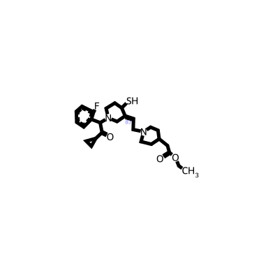 CCOC(=O)CC1CCN(C/C=C2\CN(C(C(=O)C3CC3)c3ccccc3F)CCC2S)CC1